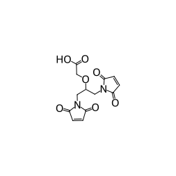 O=C(O)COC(CN1C(=O)C=CC1=O)CN1C(=O)C=CC1=O